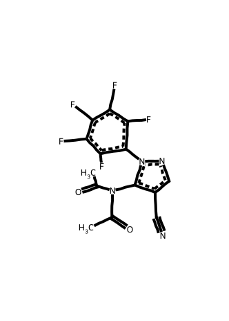 CC(=O)N(C(C)=O)c1c(C#N)cnn1-c1c(F)c(F)c(F)c(F)c1F